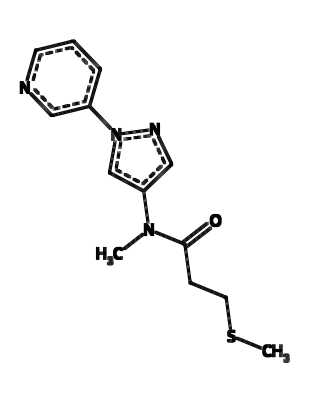 CSCCC(=O)N(C)c1cnn(-c2cccnc2)c1